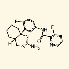 NC1=N[C@@]2(c3cc(NC(=O)c4ncccc4F)ccc3F)CCCC[C@H]2CS1